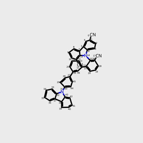 N#Cc1ccc2c(c1)c1cccc(C#N)c1n2-c1c(C#N)cccc1-c1cccc(-c2ccc(-n3c4ccccc4c4ccccc43)cc2)c1